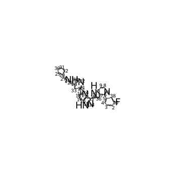 Fc1cccc(-c2nccc3[nH]c(-c4n[nH]c5ccc(-c6cncc(CNCC7CCCC7)c6)nc45)cc23)c1